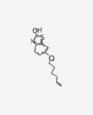 C=CCCCCOc1ccc2nc(O)sc2c1